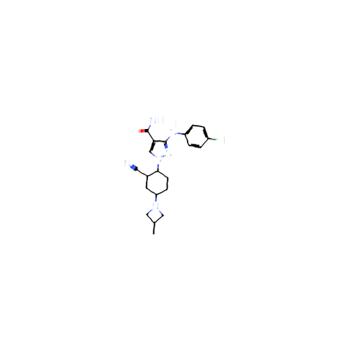 CC1CN(C2CCC(n3cc(C(N)=O)c(Nc4ccc(Cl)cc4)n3)C(C#N)C2)C1